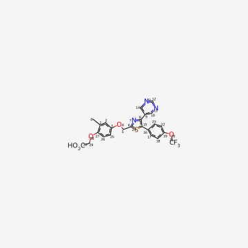 Cc1cc(OCc2nc(-c3cncnc3)c(-c3ccc(OC(F)(F)F)cc3)s2)ccc1OCC(=O)O